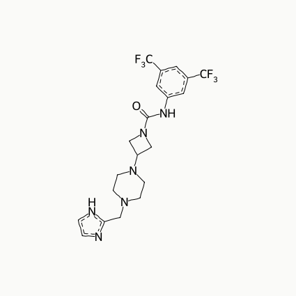 O=C(Nc1cc(C(F)(F)F)cc(C(F)(F)F)c1)N1CC(N2CCN(Cc3ncc[nH]3)CC2)C1